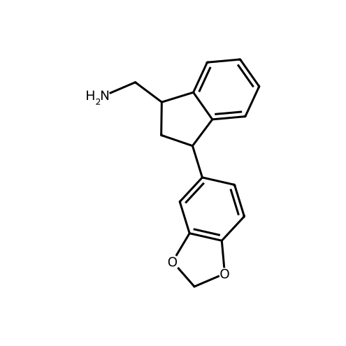 NCC1CC(c2ccc3c(c2)OCO3)c2ccccc21